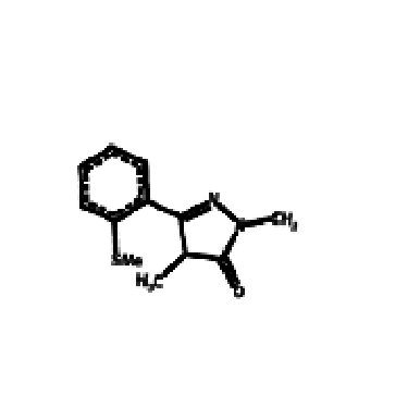 CSc1ccccc1C1=NN(C)C(=O)C1C